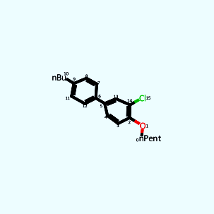 CCCCCOc1ccc(-c2ccc(CCCC)cc2)cc1Cl